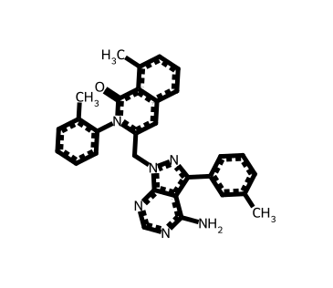 Cc1cccc(-c2nn(Cc3cc4cccc(C)c4c(=O)n3-c3ccccc3C)c3ncnc(N)c23)c1